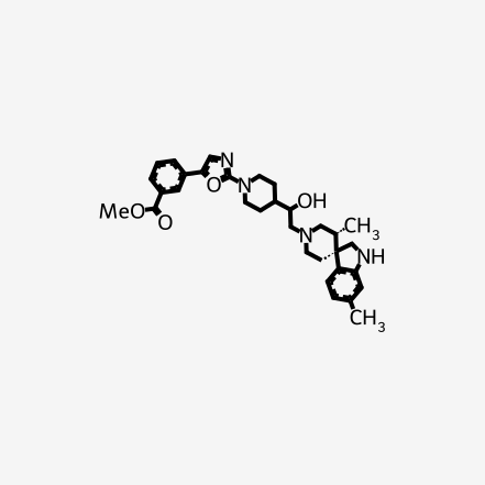 COC(=O)c1cccc(-c2cnc(N3CCC(C(O)CN4CC[C@@]5(CNc6cc(C)ccc65)[C@@H](C)C4)CC3)o2)c1